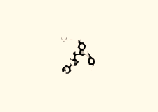 COc1ccc2c(c1)c(C(=O)c1ccn(-c3ccncc3)n1)cn2Cc1ccc(Cl)cc1